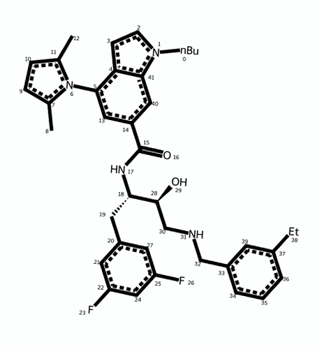 CCCCn1ccc2c(-n3c(C)ccc3C)cc(C(=O)N[C@@H](Cc3cc(F)cc(F)c3)[C@@H](O)CNCc3cccc(CC)c3)cc21